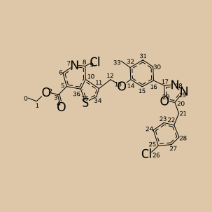 CCOC(=O)c1cnc(Cl)c2c(COc3cc(-c4nnc(Cc5ccc(Cl)cc5)o4)ccc3C)csc12